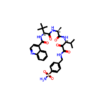 CC(C)[C@H](NC(=O)[C@H](C)NC(=O)[C@@H](NC(=O)c1ccnc2ccccc12)C(C)(C)C)C(=O)C(=O)NCc1ccc(S(N)(=O)=O)cc1